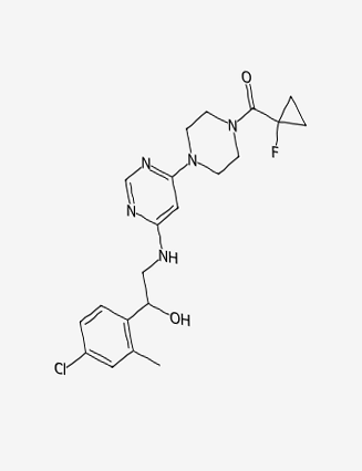 Cc1cc(Cl)ccc1C(O)CNc1cc(N2CCN(C(=O)C3(F)CC3)CC2)ncn1